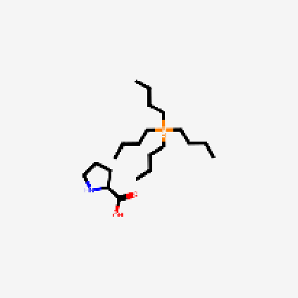 CCCC[PH](CCCC)(CCCC)CCCC.O=C(O)C1CCCN1